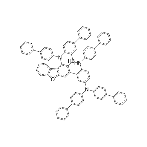 B1c2cc(-c3ccccc3)ccc2N(c2ccc(-c3ccccc3)cc2)c2c1c(-c1cc(N(c3ccc(-c4ccccc4)cc3)c3ccc(-c4ccccc4)cc3)ccc1Nc1ccc(-c3ccccc3)cc1)cc1oc3ccccc3c21